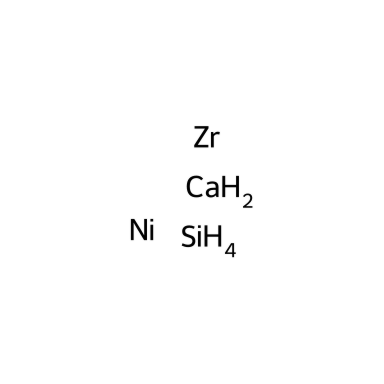 [CaH2].[Ni].[SiH4].[Zr]